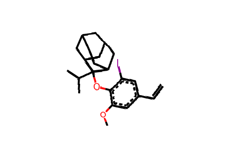 C=Cc1cc(I)c(OC2(C(C)C)C3CC4CC(C3)CC2C4)c(OC)c1